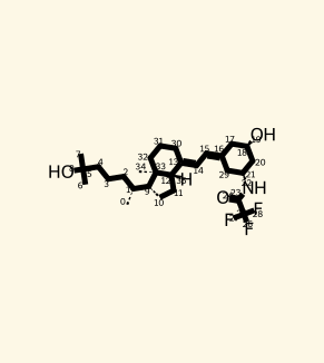 C[C@H](CCCC(C)(C)O)[C@H]1CC[C@H]2/C(=C/C=C3/C[C@@H](O)C[C@H](NC(=O)C(F)(F)F)C3)CCC[C@]12C